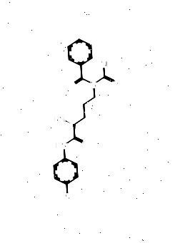 N=C(N)N(CCC[C@H](N)C(=O)Nc1ccc([N+](=O)[O-])cc1)C(=O)c1ccccc1